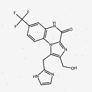 O=c1[nH]c2cc(C(F)(F)F)ccc2n2c(Cc3ncc[nH]3)c(CO)nc12